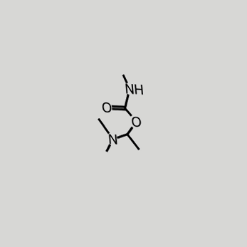 CNC(=O)OC(C)N(C)C